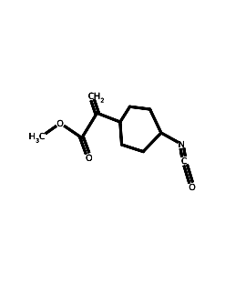 C=C(C(=O)OC)C1CCC(N=C=O)CC1